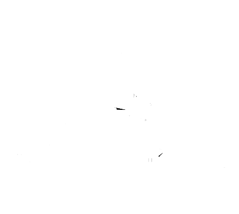 O=C1[C@H](CC[C@H](O)c2ccc(F)cc2)[C@@H](c2ccc(-c3cccc(OB(O)O)c3)cc2)N1c1ccc(F)cc1